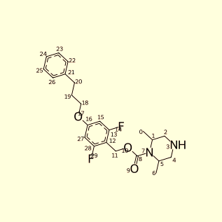 CC1CNCC(C)N1C(=O)OCc1c(F)cc(OCCCc2ccccc2)cc1F